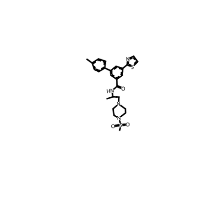 Cc1ccc(-c2cc(C(=O)NC(C)CN3CCN(S(C)(=O)=O)CC3)cc(-c3nccs3)c2)cc1